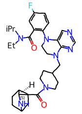 CCN(C(=O)c1cc(F)ccc1N1CCN(CC2CCN(C(=O)[C@H]3NC4CCC3CC4)CC2)c2ncncc21)C(C)C